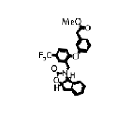 COC(=O)Cc1cccc(Oc2ccc(C(F)(F)F)cc2CN2C(=O)O[C@@H]3Cc4ccccc4[C@@H]32)c1